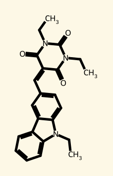 CCN1C(=O)C(=Cc2ccc3c(c2)c2ccccc2n3CC)C(=O)N(CC)C1=O